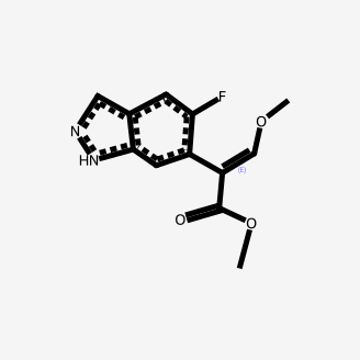 CO/C=C(/C(=O)OC)c1cc2[nH]ncc2cc1F